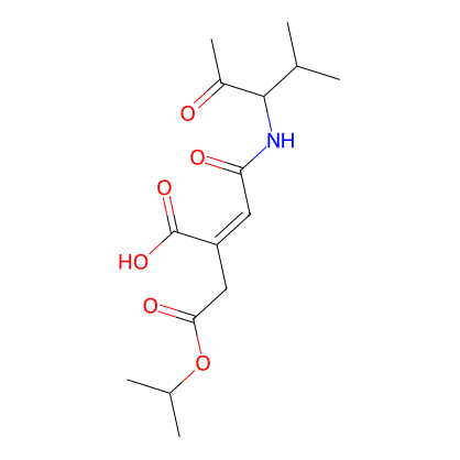 CC(=O)C(NC(=O)/C=C(/CC(=O)OC(C)C)C(=O)O)C(C)C